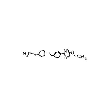 CCC[C@H]1CC[C@H](CCc2ccc(-c3ncc(OCC)cn3)cc2)CC1